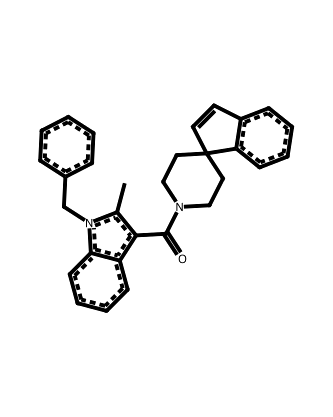 Cc1c(C(=O)N2CCC3(C=Cc4ccccc43)CC2)c2ccccc2n1Cc1ccccc1